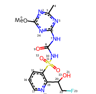 COc1nc(C)nc(NC(=O)NS(=O)(=O)c2cccnc2C(O)CF)n1